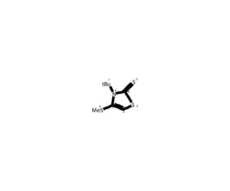 CSc1csc(=S)n1C(C)(C)C